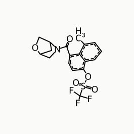 Cc1cccc2c(OS(=O)(=O)C(F)(F)F)ccc(C(=O)N3CC4CC3CO4)c12